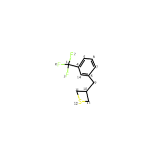 FC(F)(F)c1cccc([CH]C2CSC2)c1